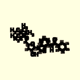 CC(C)(C)[Si](C)(C)OC[C@@H]1C[C@@H](O)[C@H](n2cnc3c(NC(=O)c4ccccc4)ncnc32)O1